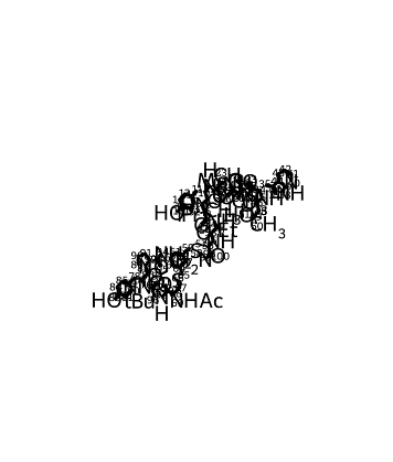 CC[C@H](NC(=O)[C@@](C)(NC(=O)[C@H](Cc1ccc(O)cc1)NC(=O)[C@H](C)NC(=O)C(C)(COC)NC(=O)[C@H](Cc1c[nH]c2ncccc12)NC(=O)C[C@@H](C)O)C(C)C)C(=O)N[C@H](CSCc1cccc(CSC[C@H](NC(C)=O)C(=O)N[C@H](C(=O)N[C@@H](Cc2ccc(O)cc2)C(=O)N2CCC[C@H]2C(N)=O)C(C)(C)C)c1)C(N)=O